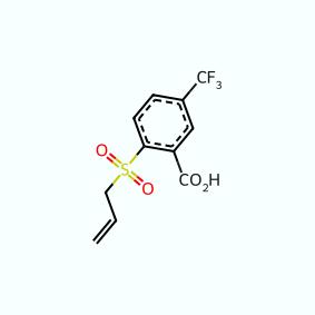 C=CCS(=O)(=O)c1ccc(C(F)(F)F)cc1C(=O)O